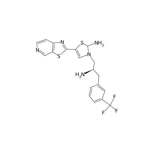 NC1SC(c2nc3ccncc3s2)=CN1C[C@H](N)Cc1cccc(C(F)(F)F)c1